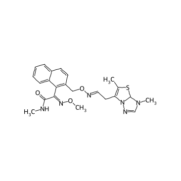 CNC(=O)/C(=N/OC)c1c(CON=CCC2=C(C)SC3N(C)C=NN23)ccc2ccccc12